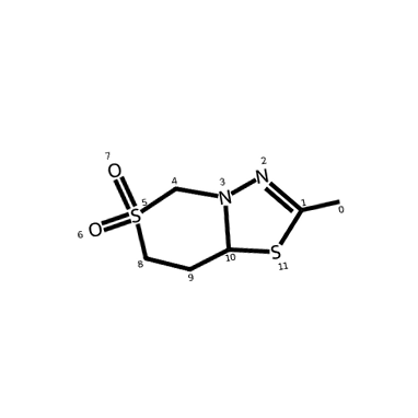 CC1=NN2CS(=O)(=O)CCC2S1